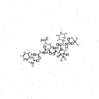 CN(C)C(=O)[C@@H](NC(=O)CNC(=O)C(=O)C(CCC(F)F)NC(=O)[C@@H]1[C@@H]2[C@H](CN1C(=O)[C@@H](NC(=O)OC(C)(C)C)C1CCCCC1)C2(C)C)c1ccccc1